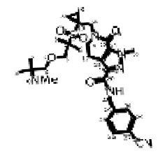 CNC(C)(C)COCC(C)(C)S(=O)(=O)C1(CN2CCc3c(C(=O)NCc4ccc(C#N)cc4)nn(C)c3C2=O)CC1